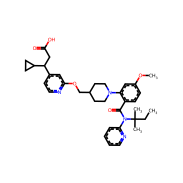 CCC(C)(C)N(C(=O)c1ccc(OC)cc1N1CCC(COc2cc(C(CC(=O)O)C3CC3)ccn2)CC1)c1ccccn1